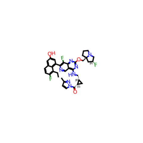 CCc1c(F)ccc2cc(O)cc(-c3ncc4c(NC[C@@H]5C[C@@H]5C(=O)n5ccc(C)n5)nc(OC[C@@]56CCCN5C[C@H](F)C6)nc4c3F)c12